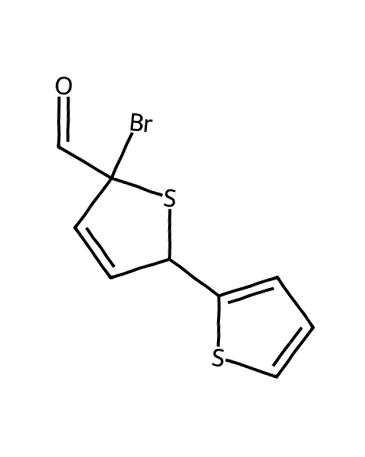 O=CC1(Br)C=CC(c2cccs2)S1